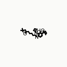 Cc1c(C2(O)CCC2)ccc2nc(CCCCC(=O)CC(C)(C)C)n(C3CCC3)c12